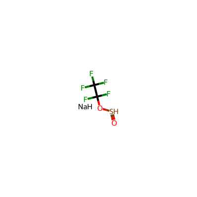 O=[SH]OC(F)(F)C(F)(F)F.[NaH]